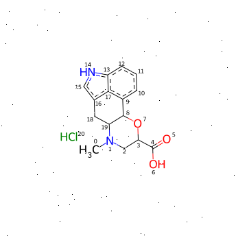 CN1CC(C(=O)O)OC2c3cccc4[nH]cc(c34)CC21.Cl